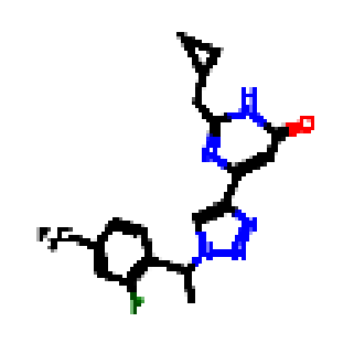 CC(c1ccc(C(F)(F)F)cc1F)n1cc(-c2cc(=O)[nH]c(CC3CC3)n2)nn1